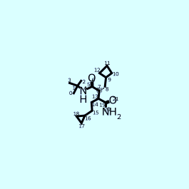 CC(C)(C)NC(=O)[C@H](CC1CCC1)C(CCC1CC1)C(N)=O